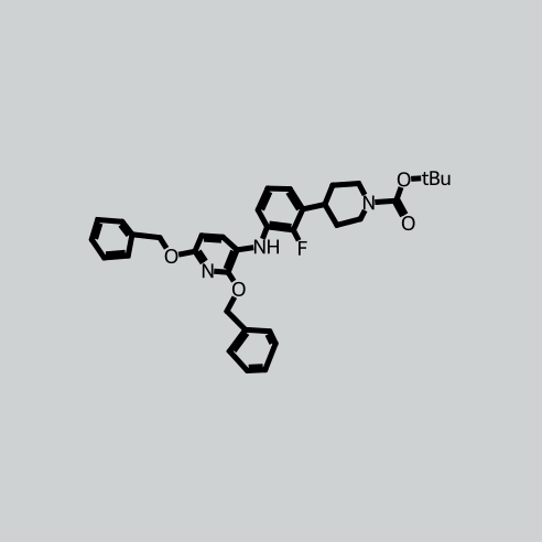 CC(C)(C)OC(=O)N1CCC(c2cccc(Nc3ccc(OCc4ccccc4)nc3OCc3ccccc3)c2F)CC1